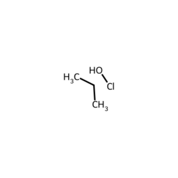 CCC.OCl